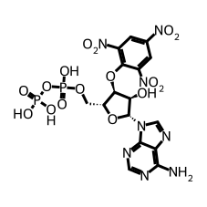 Nc1ncnc2c1ncn2[C@@H]1O[C@H](COP(=O)(O)OP(=O)(O)O)[C@@H](Oc2c([N+](=O)[O-])cc([N+](=O)[O-])cc2[N+](=O)[O-])[C@H]1O